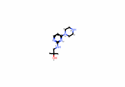 CC(C)(O)CNc1nccc(N2CCNCC2)n1